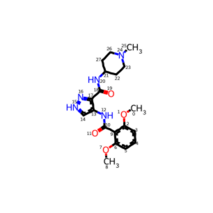 COc1cccc(OC)c1C(=O)Nc1c[nH]nc1C(=O)NC1CCN(C)CC1